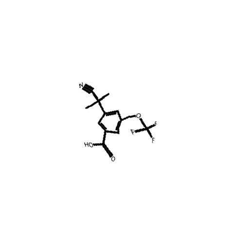 CC(C)(C#N)c1cc(OC(F)(F)F)cc(C(=O)O)c1